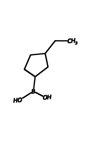 CCC1CCC(B(O)O)C1